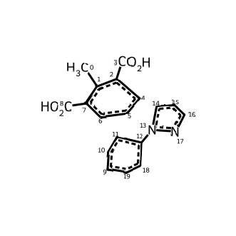 Cc1c(C(=O)O)cccc1C(=O)O.c1ccc(-n2cccn2)cc1